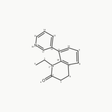 CCN1C(=O)CCc2cccc(-c3cccnc3)c21